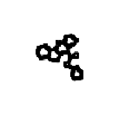 O=C(Oc1ccccc1)c1c2ccccc2nc2c1ccc1ccccc12